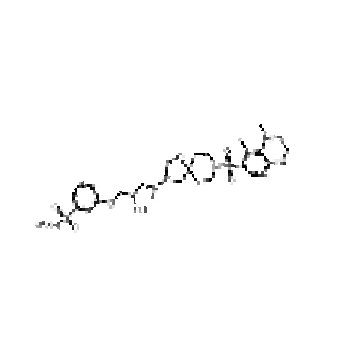 CNS(=O)(=O)c1cccc(OCC(O)CNC2COC3(CCN(S(=O)(=O)c4cnc5c(c4C)N(C)CCO5)CC3)C2)c1